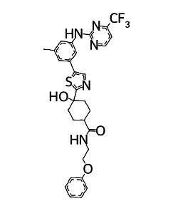 Cc1cc(Nc2nccc(C(F)(F)F)n2)cc(-c2cnc(C3(O)CCC(C(=O)NCCOc4ccccc4)CC3)s2)c1